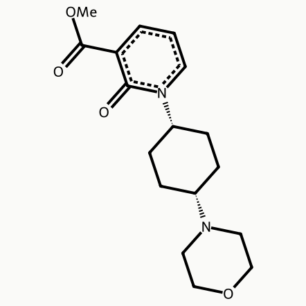 COC(=O)c1cccn([C@H]2CC[C@@H](N3CCOCC3)CC2)c1=O